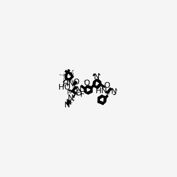 COc1c(-c2cc(C(=O)N[C@@H](Cc3ccccc3)CN(C)C)cc(N(C)C)c2)ccc(F)c1CN1O[C@@H](CN=[N+]=[N-])[C@@H]([C@H](C)O)[C@H]1C(=O)N[C@H]1C[C@@H](C)C(C)(C)[C@@H](C)[C@@H]1C